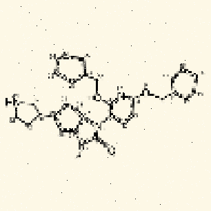 Cn1c(=O)n(-c2ccc(OCc3ccccc3)nc2OCc2ccccc2)c2ccc(C3CCNC3)cc21